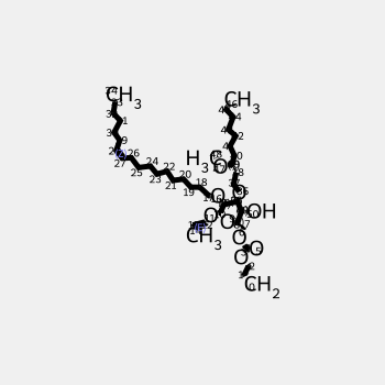 C=CCOC(=O)OC[C@H]1OC(O/C=C/C)[C@H](OCCCCCCCCCC/C=C\CCCCCC)[C@@H](OCC[C@@H](CCCCCCC)OC)[C@@H]1O